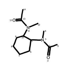 CC(=O)N(C)C1CCCCC1N(C)C(C)=O